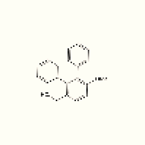 COc1ccc(CO)c(-c2ccccc2)c1-c1ccccc1